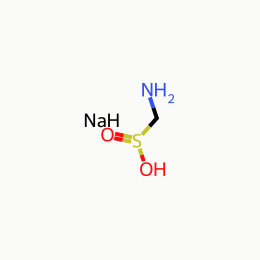 NCS(=O)O.[NaH]